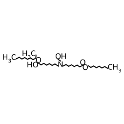 CCCCCCCCCOC(=O)CCCCCCCN(CCO)CCCCCCCC(O)OC(CC)CCCCCCCC